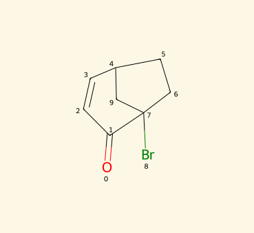 O=C1C=CC2CCC1(Br)C2